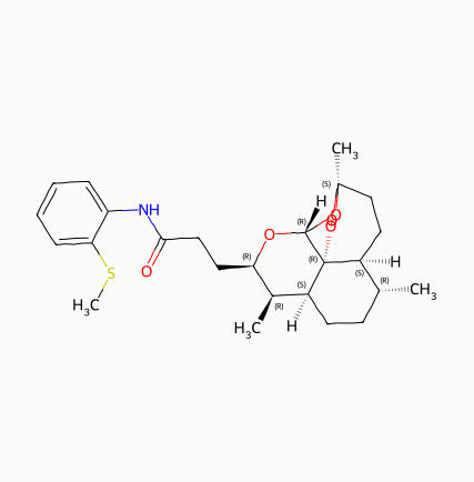 CSc1ccccc1NC(=O)CC[C@H]1O[C@@H]2O[C@]3(C)CC[C@H]4[C@H](C)CC[C@@H]([C@H]1C)[C@@]24OO3